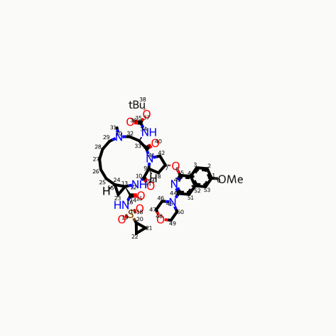 COc1ccc2c(O[C@@H]3C[C@H]4C(=O)N[C@]5(C(=O)NS(=O)(=O)C6CC6)C[C@H]5CCCCCN(C)C[C@H](NC(=O)OC(C)(C)C)C(=O)N4C3)nc(N3CCOCC3)cc2c1